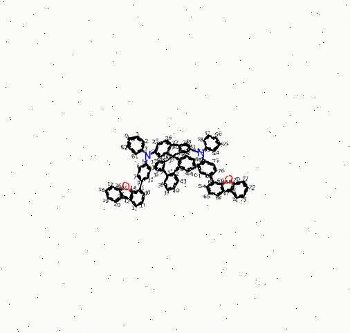 c1ccc(N(c2ccc(-c3cccc4c3oc3ccccc34)cc2)c2ccc3c(c2)C2(c4ccccc4-c4ccccc4-c4ccccc42)c2cc(N(c4ccccc4)c4ccc(-c5cccc6c5oc5ccccc56)cc4)ccc2-3)cc1